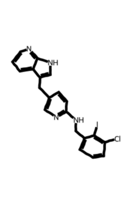 Clc1cccc(CNc2ccc(Cc3c[nH]c4ncccc34)cn2)c1I